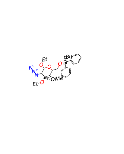 CCOC1OC(CO[Si](c2ccccc2)(c2ccccc2)C(C)(C)C)[C@@H](OC)[C@H](OCC)C1N=[N+]=[N-]